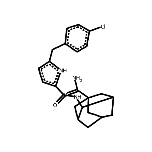 NC(=O)C12CC3CC(C1)C(NC(=O)c1ccc(Cc4ccc(Cl)cc4)[nH]1)C(C3)C2